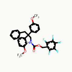 O=C(NCC(Cc1ccccc1)(c1cccc(OC(F)(F)F)c1)c1cccc(OC(F)(F)F)c1)OCc1c(F)c(F)c(F)c(F)c1F